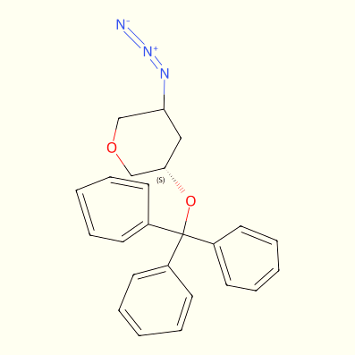 [N-]=[N+]=NC1COC[C@@H](OC(c2ccccc2)(c2ccccc2)c2ccccc2)C1